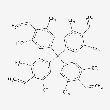 C=Cc1c(C(F)(F)F)cc(C(c2cc(C(F)(F)F)c(C=C)c(C(F)(F)F)c2)(c2cc(C(F)(F)F)c(C=C)c(C(F)(F)F)c2)c2cc(C(F)(F)F)c(C=C)c(C(F)(F)F)c2)cc1C(F)(F)F